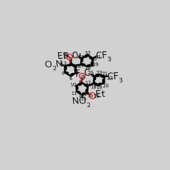 CCOc1c([N+](=O)[O-])ccc(Oc2ccc([N+](=O)[O-])c(OCC)c2-c2ccc(C(F)(F)F)cc2C(F)(F)F)c1-c1ccc(C(F)(F)F)cc1C(F)(F)F